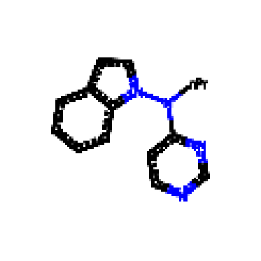 CCCN(c1ccncn1)n1ccc2ccccc21